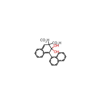 O=C(O)C1(C(=O)O)C=c2ccccc2=C(c2cccc3ccccc23)C1(O)O